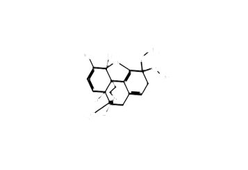 COC1(OO)CC=C2C[C@@H]3[C@@H]4C=C=C(O)[C@@H]5OC1=C2[C@@]54CCN3C